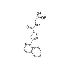 O=C(NCB(O)O)C1CC(c2nccc3ccccc23)=NO1